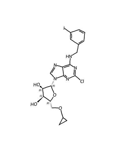 O[C@@H]1[C@H](O)[C@@H](COC2CC2)O[C@H]1n1cnc2c(NCc3cccc(I)c3)nc(Cl)nc21